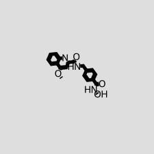 COc1cc(C(=O)NCc2ccc(C(=O)NO)cc2)nc2ccccc12